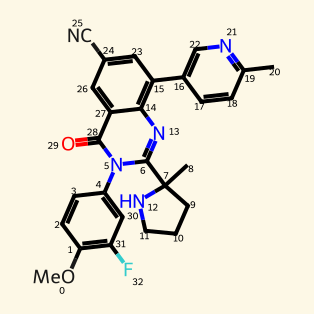 COc1ccc(-n2c(C3(C)CCCN3)nc3c(-c4ccc(C)nc4)cc(C#N)cc3c2=O)cc1F